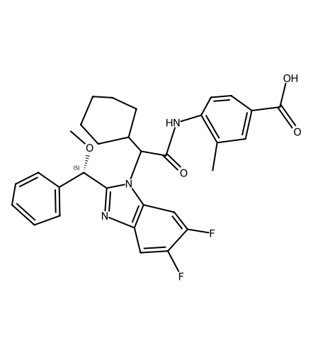 CO[C@@H](c1ccccc1)c1nc2cc(F)c(F)cc2n1C(C(=O)Nc1ccc(C(=O)O)cc1C)C1CCCCC1